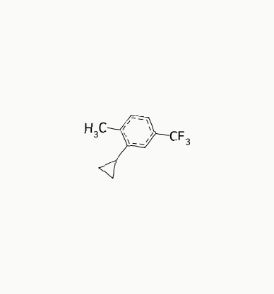 Cc1ccc(C(F)(F)F)cc1C1CC1